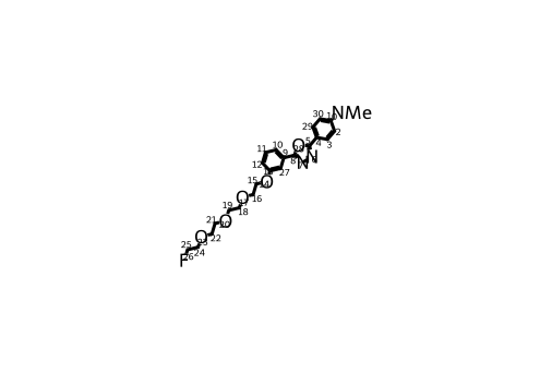 CNc1ccc(-c2nnc(-c3cccc(OCCOCCOCCOCCF)c3)o2)cc1